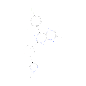 Cc1nc2nc([C@@H]3CCO[C@H](c4cnn(C)c4)C3)nc(-c3ccc(F)cc3F)c2nc1C